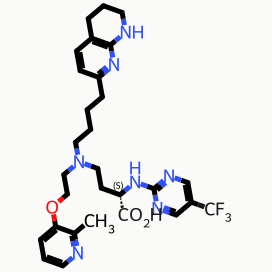 Cc1ncccc1OCCN(CCCCc1ccc2c(n1)NCCC2)CC[C@H](Nc1ncc(C(F)(F)F)cn1)C(=O)O